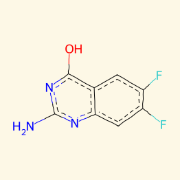 Nc1nc(O)c2cc(F)c(F)cc2n1